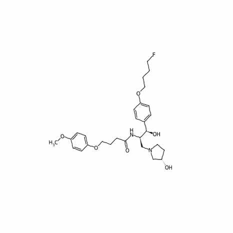 COc1ccc(OCCCC(=O)N[C@H](CN2CC[C@H](O)C2)[C@H](O)c2ccc(OCCCCF)cc2)cc1